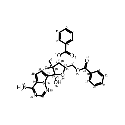 C[C@@]1(F)[C@H](OC(=O)c2ccccc2)[C@@H](COC(=O)c2ccccc2)O[C@@]1(O)c1ccc2c(N)ncnn12